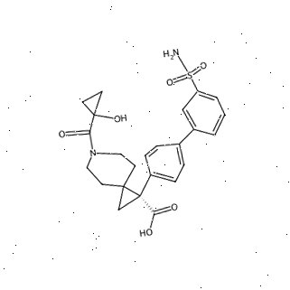 NS(=O)(=O)c1cccc(-c2ccc([C@@]3(C(=O)O)CC34CCN(C(=O)C3(O)CC3)CC4)cc2)c1